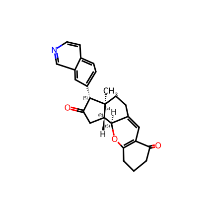 C[C@]12CCC3=CC4=C(CCCC4=O)O[C@H]3[C@@H]1CC(=O)[C@@H]2c1ccc2ccncc2c1